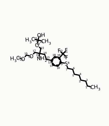 CCCCCCCCSc1ccc(CCC(N)(COCOC)COC(C)(C)O)cc1C(F)(F)F